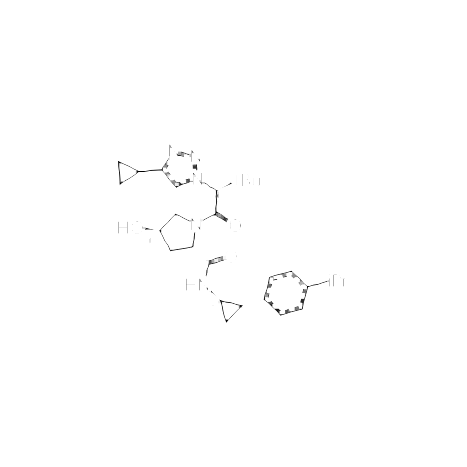 CC(C)c1ccc([C@@H]2C[C@H]2NC(=O)[C@@H]2C[C@@H](O)CN2C(=O)[C@@H](n2cc(C3CC3)nn2)C(C)(C)C)cc1